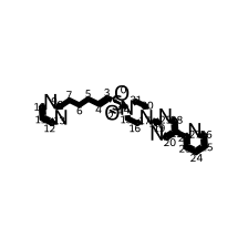 O=S(=O)(/C=C/CCCc1ncccn1)N1CCN(c2ncc(-c3ccccn3)cn2)CC1